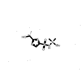 C[C@@H](O)c1ncc(S(=O)(=O)N[Si](C)(C)C(C)(C)C)s1